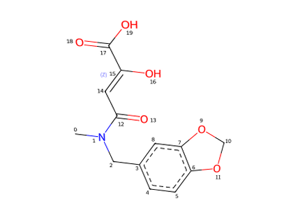 CN(Cc1ccc2c(c1)OCO2)C(=O)/C=C(\O)C(=O)O